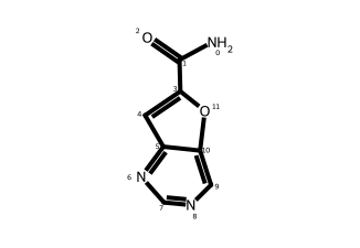 NC(=O)c1cc2ncncc2o1